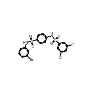 O=S(=O)(Nc1cccc(Br)c1)c1ccc(NS(=O)(=O)c2cc(Cl)cc(Cl)c2)cc1